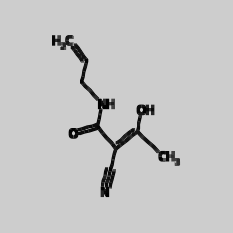 C=CCNC(=O)C(C#N)=C(C)O